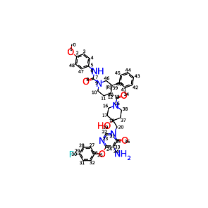 COc1ccc(NC(=O)N2CC[C@@H](C(=O)N3CCC(O)(Cn4cnc(Oc5ccc(F)cc5)c(N)c4=O)CC3)[C@H](c3ccccc3)C2)cc1